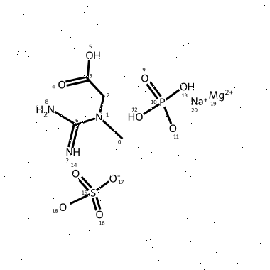 CN(CC(=O)O)C(=N)N.O=P([O-])(O)O.O=S(=O)([O-])[O-].[Mg+2].[Na+]